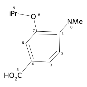 CNc1ccc(C(=O)O)cc1OC(C)C